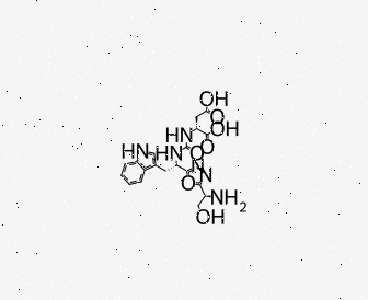 N[C@@H](CO)c1nnc([C@H](Cc2c[nH]c3ccccc23)NC(=O)N[C@@H](CC(=O)O)C(=O)O)o1